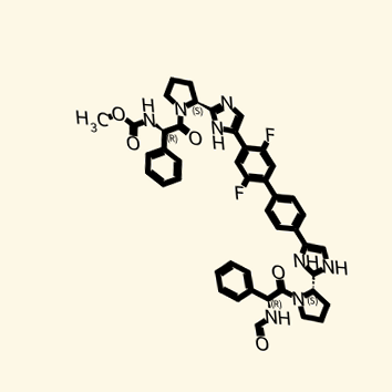 COC(=O)N[C@@H](C(=O)N1CCC[C@H]1c1ncc(-c2cc(F)c(-c3ccc(C4=CNC([C@@H]5CCCN5C(=O)[C@H](NC=O)c5ccccc5)N4)cc3)cc2F)[nH]1)c1ccccc1